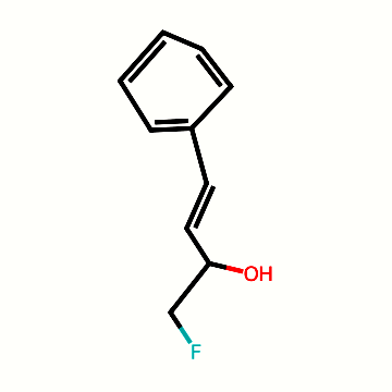 OC(C=Cc1ccccc1)CF